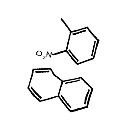 Cc1ccccc1[N+](=O)[O-].c1ccc2ccccc2c1